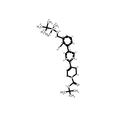 CC(C)(C)OC(=O)N1CC=C(c2ncc(-c3cccc(CO[Si](C)(C)C(C)(C)C)c3F)cn2)CC1